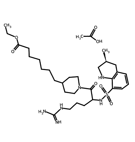 CC(=O)O.CCOC(=O)CCCCCCC1CCN(C(=O)C(CCCNC(=N)N)NS(=O)(=O)c2cccc3c2NC[C@@H](C)C3)CC1